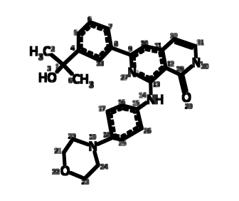 CC(C)(O)c1cccc(-c2cc3c(c(Nc4ccc(N5CCOCC5)cc4)n2)C(=O)[N]C=C3)c1